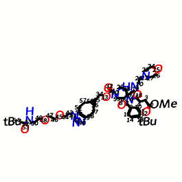 COC(=O)CCCN(C(=O)c1ccc(C(C)(C)C)cc1)C1(C(=O)NCCN2CCOCC2)CCN(C(=O)OCC2C3CCc4nnn(CCOCCOCCNC(=O)C(C)(C)C)c4CCC32)CC1